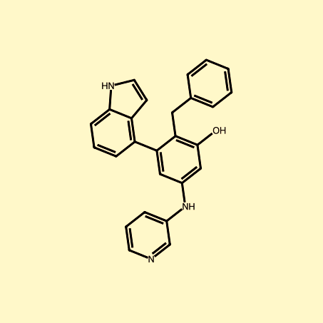 Oc1cc(Nc2cccnc2)cc(-c2cccc3[nH]ccc23)c1Cc1ccccc1